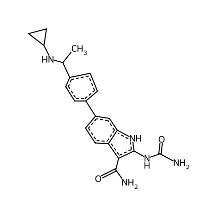 CC(NC1CC1)c1ccc(-c2ccc3c(C(N)=O)c(NC(N)=O)[nH]c3c2)cc1